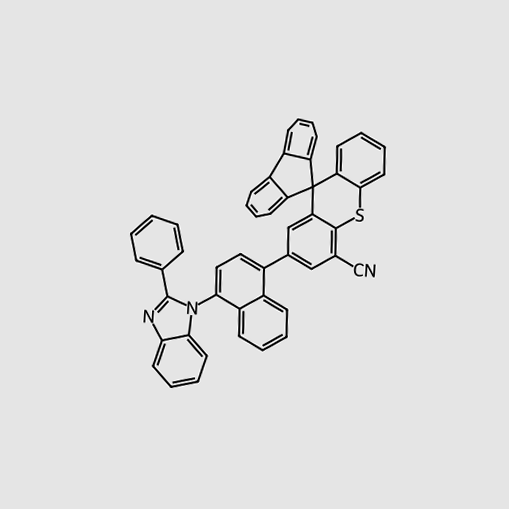 N#Cc1cc(-c2ccc(-n3c(-c4ccccc4)nc4ccccc43)c3ccccc23)cc2c1Sc1ccccc1C21c2ccccc2-c2ccccc21